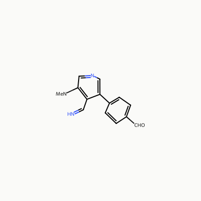 CNc1cncc(-c2ccc(C=O)cc2)c1C=N